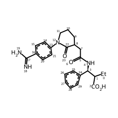 CCC(C(=O)O)[C@H](NC(=O)CC1CCCN(c2ccc(C(=N)N)cc2)C1=O)c1ccccc1